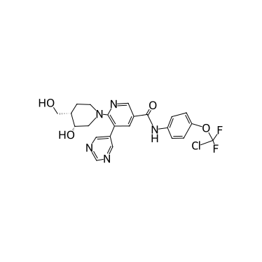 O=C(Nc1ccc(OC(F)(F)Cl)cc1)c1cnc(N2CC[C@@H](CO)[C@@H](O)C2)c(-c2cncnc2)c1